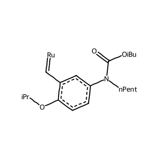 CCCCCN(C(=O)OCC(C)C)c1ccc(OC(C)C)c([CH]=[Ru])c1